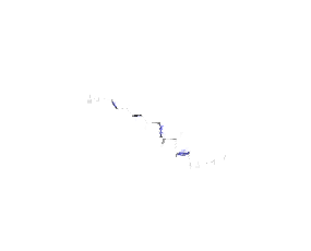 [CH2]CCC/C=C/C/C=C/C/C=C/C/C=C/CCCCC